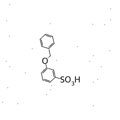 O=S(=O)(O)c1cccc(OCc2ccccc2)c1